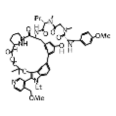 CCn1c(-c2cnccc2COC)c2c3cc(ccc31)-c1cc(O)cc(c1)C[C@H](NC(=O)[C@H](C(C)C)N(C)C(=O)CN(C)C(=O)[C@H]1N[C@@H]1c1ccc(OC)cc1)C(=O)N1CCC[C@H](N1)C(=O)OCC(C)(C)C2